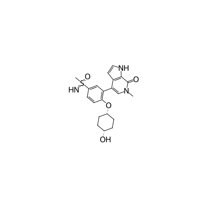 Cn1cc(-c2cc(S(C)(=N)=O)ccc2O[C@H]2CC[C@@H](O)CC2)c2cc[nH]c2c1=O